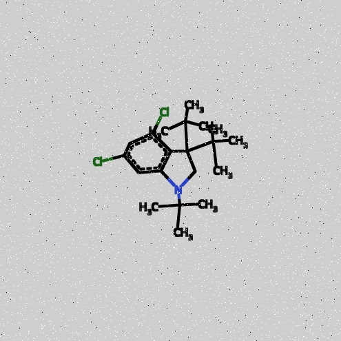 CC(C)(C)N1CC(C(C)(C)C)(C(C)(C)C)c2c(Cl)cc(Cl)cc21